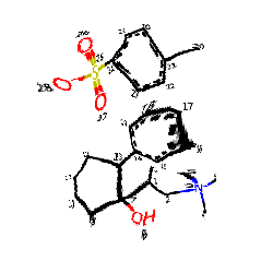 CC(C[N+](C)(C)C)C1(O)CCCCC1c1ccccc1.Cc1ccc(S(=O)(=O)[O-])cc1